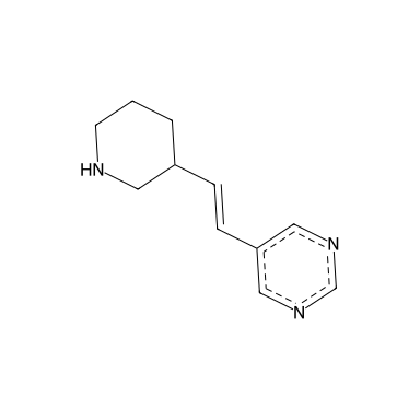 C(=CC1CCCNC1)c1cncnc1